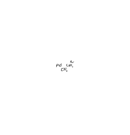 C.[Au].[GaH3].[Pd]